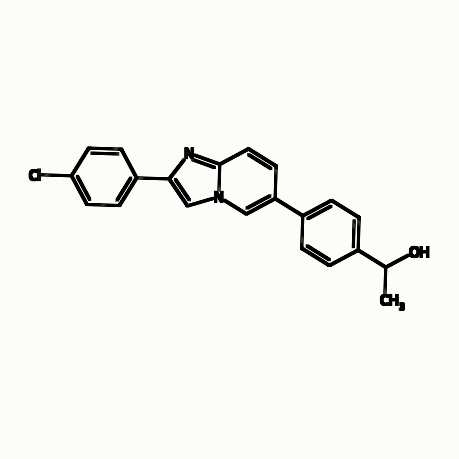 CC(O)c1ccc(-c2ccc3nc(-c4ccc(Cl)cc4)cn3c2)cc1